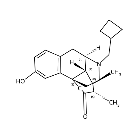 C[C@@H]1[C@H]2[C@H]3Cc4ccc(O)cc4[C@@]2(CCN3CC2CCC2)CC(=O)[C@H]1C